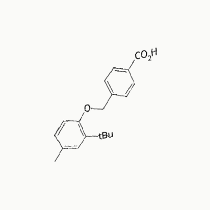 Cc1ccc(OCc2ccc(C(=O)O)cc2)c(C(C)(C)C)c1